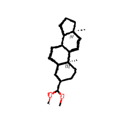 [CH2]OC(OC)C1CC[C@@]2(C)C(CCC3C4CCC[C@@]4(C)CCC32)C1